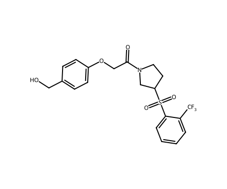 O=C(COc1ccc(CO)cc1)N1CCC(S(=O)(=O)c2ccccc2C(F)(F)F)C1